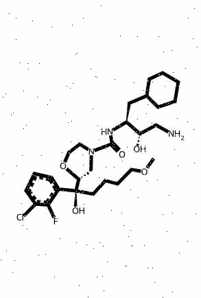 COCCCC[C@](O)(c1cccc(Cl)c1F)[C@H]1CN(C(=O)N[C@@H](CC2CCCCC2)[C@@H](O)CN)CCO1